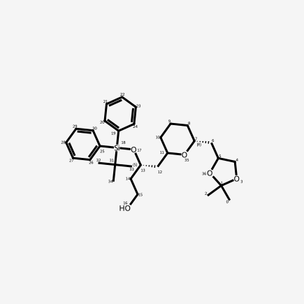 CC1(C)OCC(C[C@H]2CCCC(C[C@H](CCO)O[Si](c3ccccc3)(c3ccccc3)C(C)(C)C)O2)O1